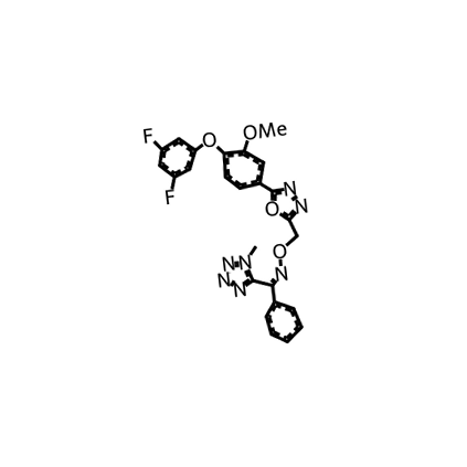 COc1cc(-c2nnc(CO/N=C(/c3ccccc3)c3nnnn3C)o2)ccc1Oc1cc(F)cc(F)c1